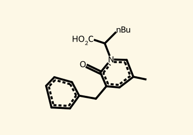 CCCCC(C(=O)O)n1cc(C)cc(Cc2ccccc2)c1=O